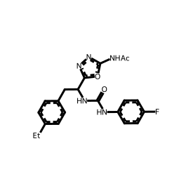 CCc1ccc(CC(NC(=O)Nc2ccc(F)cc2)c2nnc(NC(C)=O)o2)cc1